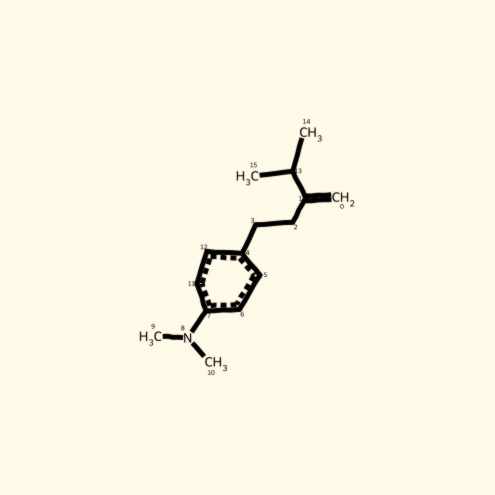 C=C(CCc1ccc(N(C)C)cc1)C(C)C